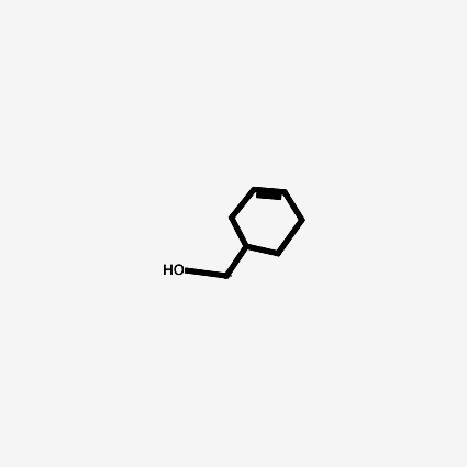 O[CH]C1CC=CCC1